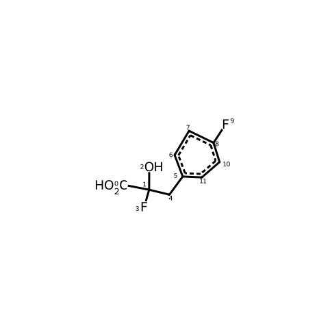 O=C(O)C(O)(F)Cc1ccc(F)cc1